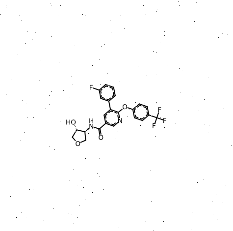 O=C(N[C@H]1COC[C@@H]1O)c1cnc(Oc2ccc(C(F)(F)F)cc2)c(-c2cccc(F)c2)c1